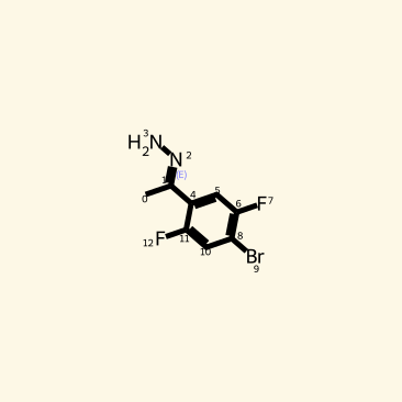 C/C(=N\N)c1cc(F)c(Br)cc1F